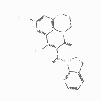 COc1cc2c3c(c1)c(N)c(C(=O)N1CCc4ccccc41)c(=O)n3CCO2